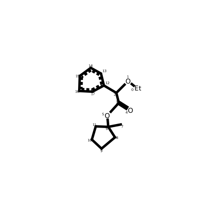 CCOC(C(=O)OC1(C)CCCC1)c1ccccc1